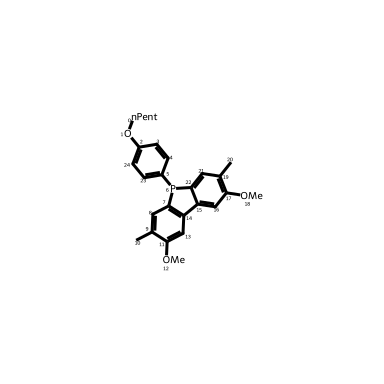 CCCCCOc1ccc(-p2c3cc(C)c(OC)cc3c3cc(OC)c(C)cc32)cc1